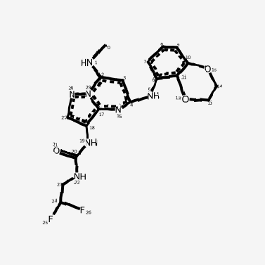 CNc1cc(Nc2cccc3c2OCCO3)nc2c(NC(=O)NCC(F)F)cnn12